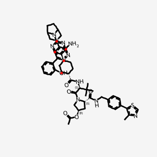 CC(=O)O[C@@H]1C[C@@H](C(=O)NCc2ccc(-c3scnc3C)cc2)N(C(=O)[C@@H](NC(=O)[C@H]2CC[C@H](c3cnc(N4C5CCC4CN(c4cc(-c6ccccc6O)nnc4N)C5)nc3)CC2)C(C)(C)C)C1